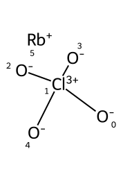 [O-][Cl+3]([O-])([O-])[O-].[Rb+]